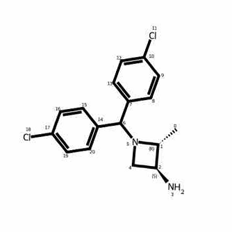 C[C@@H]1[C@@H](N)CN1C(c1ccc(Cl)cc1)c1ccc(Cl)cc1